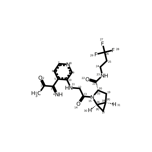 CC(=O)C(=N)c1ccncc1NCC(=O)N1[C@@H]2C[C@@H]2C[C@H]1C(=O)NCCC(F)(F)F